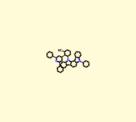 N#Cc1cccc(-n2c3ccccc3c3ccc4c(c5ccccc5n4-c4ccccc4)c32)c1-c1cc(-c2ccccc2)nc(-c2ccccc2)c1